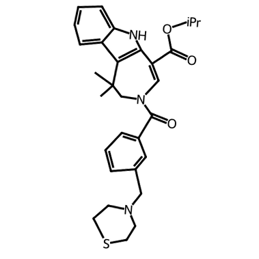 CC(C)OC(=O)C1=CN(C(=O)c2cccc(CN3CCSCC3)c2)CC(C)(C)c2c1[nH]c1ccccc21